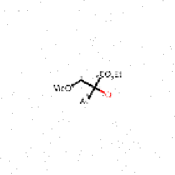 CCOC(=O)C([O])(COC)C(C)=O